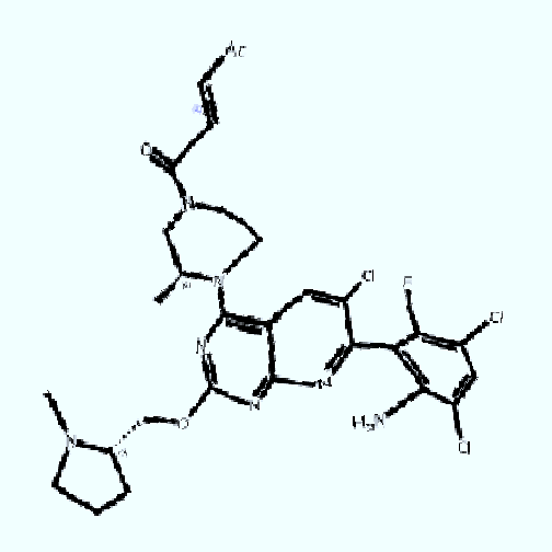 CC(=O)/C=C/C(=O)N1CCN(c2nc(OC[C@@H]3CCCN3C)nc3nc(-c4c(N)c(Cl)cc(Cl)c4F)c(Cl)cc23)[C@@H](C)C1